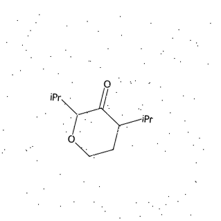 CC(C)C1CCOC(C(C)C)C1=O